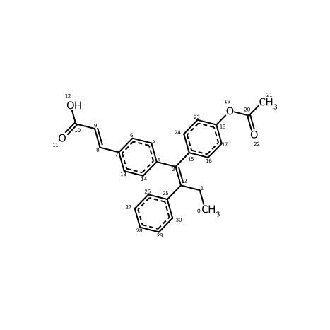 CC/C(=C(/c1ccc(/C=C/C(=O)O)cc1)c1ccc(OC(C)=O)cc1)c1ccccc1